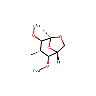 CCCCO[C@H]1[C@H]2OC[C@@H](O2)[C@@H](OCCCC)[C@@H]1C